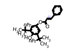 CCCC(C)(C)c1cc(OC(=O)/C=C/c2ccccc2)cc(C(C)(C)CCC)c1O